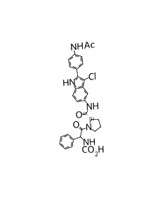 CC(=O)Nc1ccc(-c2[nH]c3ccc(NC(=O)[C@@H]4CCCN4C(=O)C(NC(=O)O)c4ccccc4)cc3c2Cl)cc1